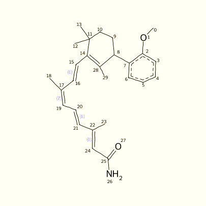 COc1ccccc1C1CCC(C)(C)C(/C=C/C(C)=C\C=C\C(C)=C\C(N)=O)=C1C